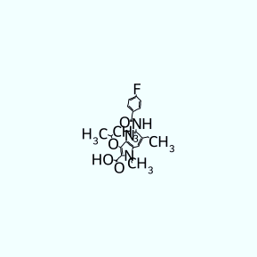 CCc1cc2c(nc1NC(=O)c1ccc(F)cc1)c(OC(C)C)c(C(=O)O)n2C